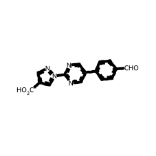 O=Cc1ccc(-c2cnc(-n3cc(C(=O)O)cn3)nc2)cc1